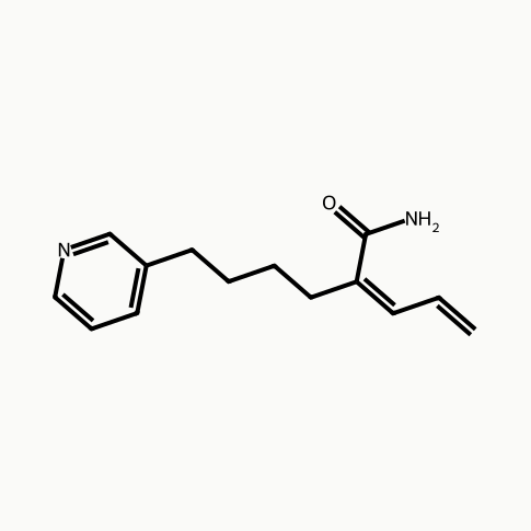 C=CC=C(CCCCc1cccnc1)C(N)=O